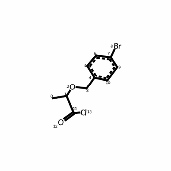 CC(OCc1ccc(Br)cc1)C(=O)Cl